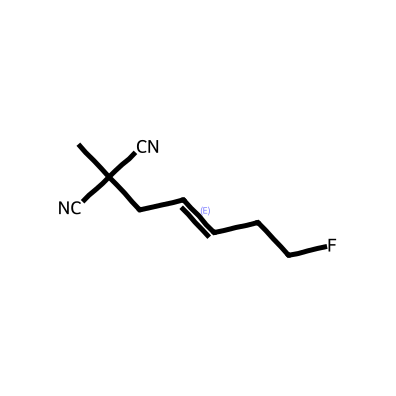 CC(C#N)(C#N)C/C=C/CCF